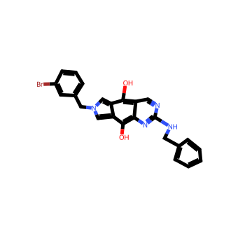 Oc1c2cn(Cc3cccc(Br)c3)cc2c(O)c2nc(NCc3ccccc3)ncc12